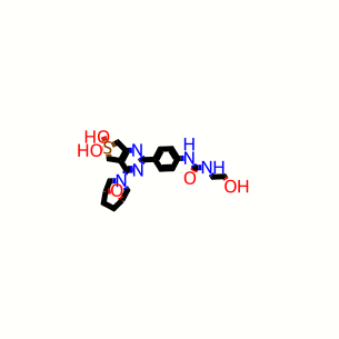 O=C(NCCO)Nc1ccc(-c2nc3c(c(N4CC5CCC(C4)O5)n2)CS(O)(O)C3)cc1